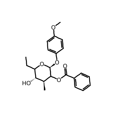 CCC1O[C@@H](Oc2ccc(OC)cc2)C(OC(=O)c2ccccc2)[C@@H](C)[C@@H]1O